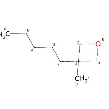 [CH2]C1(CCCCC)COC1